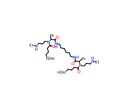 CCCCCCCCCCCCCC(=O)N(CCCNCC)C(C(=O)NCCCCCCNC(=O)C(C(C)C)N(CCCNCC)C(=O)CCCCCCCCCCCCC)C(C)C